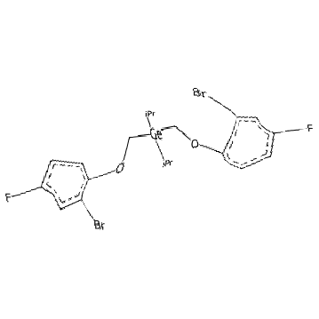 C[CH](C)[Ge]([CH2]Oc1ccc(F)cc1Br)([CH2]Oc1ccc(F)cc1Br)[CH](C)C